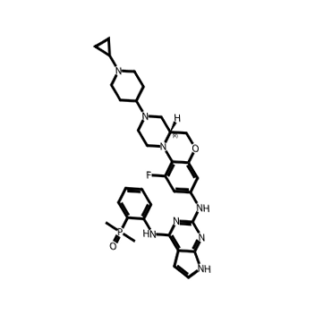 CP(C)(=O)c1ccccc1Nc1nc(Nc2cc(F)c3c(c2)OC[C@H]2CN(C4CCN(C5CC5)CC4)CCN32)nc2[nH]ccc12